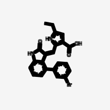 CCc1cc(C(=O)O)c(C=C2C(=O)Nc3cccc(-c4cccc(Br)c4)c32)[nH]1